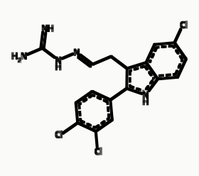 N=C(N)NN=CCc1c(-c2ccc(Cl)c(Cl)c2)[nH]c2ccc(Cl)cc12